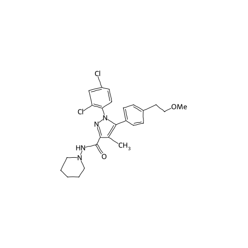 COCCc1ccc(-c2c(C)c(C(=O)NN3CCCCC3)nn2-c2ccc(Cl)cc2Cl)cc1